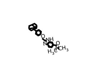 CN(C)C(=O)c1ccc2nc(COc3ccc(C45CC6CC(CC(C6)C4)C5)cc3)[nH]c2c1